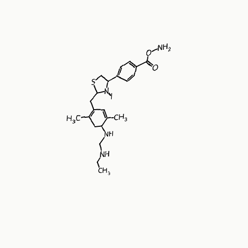 CCNCNC1CC(C)=C(CC2SCC(c3ccc(C(=O)ON)cc3)N2I)C=C1C